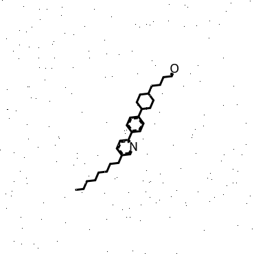 CCCCCCCCc1ccc(-c2ccc(C3CCC(CCCC=O)CC3)cc2)nc1